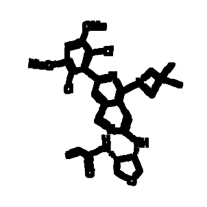 C=CC(=O)N[C@H]1COC[C@H]1Nc1cc2c(N3CC(C)(C)C3)nc(-c3c(Cl)c(OC)cc(OC)c3Cl)cc2cn1